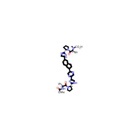 COC(=O)N[C@H](C(=O)N1CCC[C@H]1c1nc(-c2cnc(-c3ccc4cc(-c5cnc([C@@H]6CCCN6C(=O)[C@H](C(C)C)N(C)C(=O)O)[nH]5)ccc4c3)cn2)c[nH]1)C(C)C